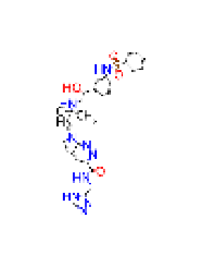 CC(C)(CCn1ccc2cc(C(=O)NCc3nnc[nH]3)nnc21)NC[C@H](O)c1cccc(NS(=O)(=O)c2ccccc2)c1